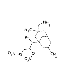 CCC(C(CO[N+](=O)[O-])O[N+](=O)[O-])C12CC(C)CC(CC(C)(CN)C1)C2